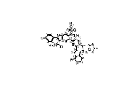 CNC(=O)c1c(-c2ccc(F)cc2)oc2cc(N(C)S(C)(=O)=O)c(-c3ccc4c(n3)-c3cc5c(F)cccc5n3C(CN3CCCC3)C4)cc12